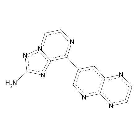 Nc1nc2c(-c3cnc4nccnc4c3)nccn2n1